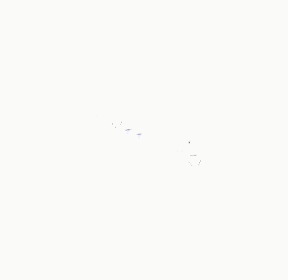 C#CC(OCCCCCC/C=C/C=C/C(=O)NCC(C)C)c1ccccc1